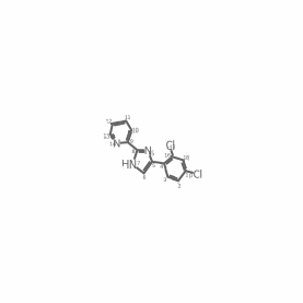 Clc1ccc(-c2c[nH]c(-c3ccccn3)n2)c(Cl)c1